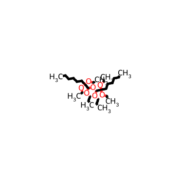 CCCCCCC(OCC)(OCC)C(OCCC)OC(OCCC)C(CCCCCC)(OCC)OCC